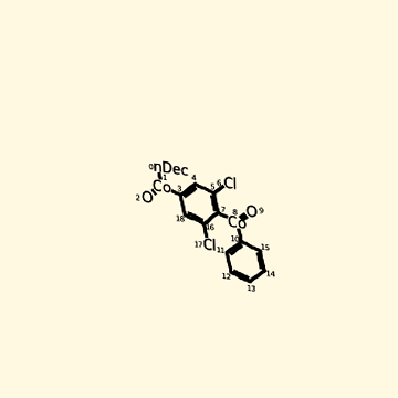 CCCCCCCCC[CH2][Co](=[O])[c]1cc(Cl)[c]([Co](=[O])[c]2ccccc2)c(Cl)c1